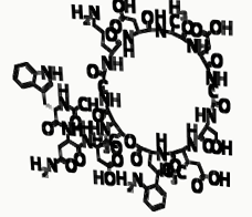 CC(=O)N[C@@H](Cc1c[nH]c2ccccc12)C(=O)NC(CC(N)=O)C(=O)NC(CC(=O)O)C(=O)NC1C(=O)NCC(=O)NC(CCCN)C(=O)NC(CC(=O)O)C(=O)NC(C)C(=O)NC(CC(=O)O)C(=O)NCC(=O)NC(CO)C(=O)NC(C(C)CC(=O)O)C(=O)NC(CC(=O)c2ccccc2N)C(=O)OC1C